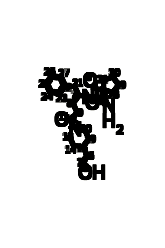 NC(=O)C1(C(=O)NC(CCC(=O)N2CCC(CCO)CC2)Cc2ccccc2)CCCC1